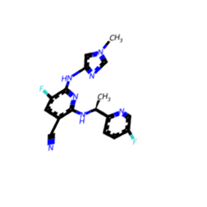 C[C@H](Nc1nc(Nc2cn(C)cn2)c(F)cc1C#N)c1ccc(F)cn1